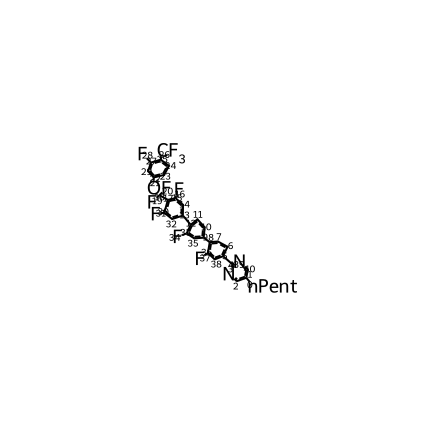 CCCCCc1cnc(-c2ccc(-c3ccc(-c4cc(F)c(C(F)(F)Oc5ccc(C(F)(F)F)c(F)c5)c(F)c4)c(F)c3)c(F)c2)nc1